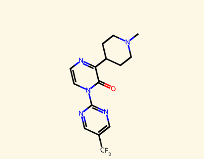 CN1CCC(c2nccn(-c3ncc(C(F)(F)F)cn3)c2=O)CC1